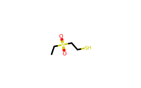 CCS(=O)(=O)CCS